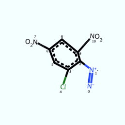 [N-]=[N+]c1c(Cl)cc([N+](=O)[O-])cc1[N+](=O)[O-]